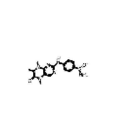 CC1C(=O)N(C)c2cnc(Nc3ccc([S+](N)[O-])cc3)nc2N1C